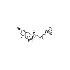 Cc1cc(Br)cc2c1O[C@H](C(F)(F)F)C(C(=O)OCCN(C)CCO[N+](=O)[O-])=C2